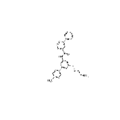 Cc1ccc(-c2cc(COCCN)cc(NC(=O)c3cc(-c4ccccc4)ccn3)c2)cn1